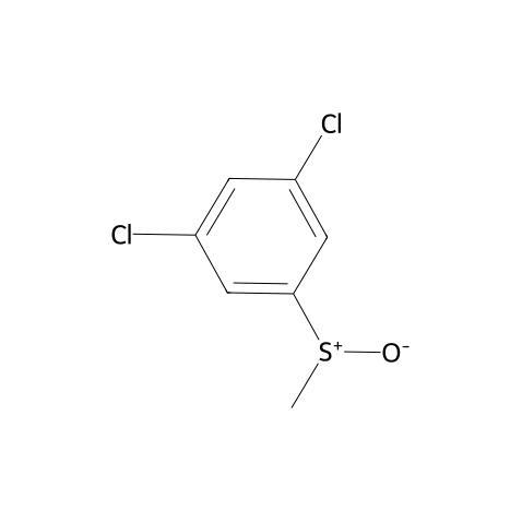 C[S+]([O-])c1cc(Cl)cc(Cl)c1